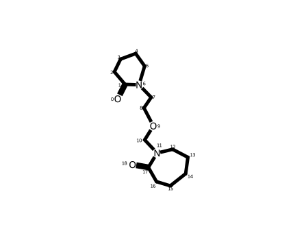 O=C1CCCCN1CCOCN1CCCCCC1=O